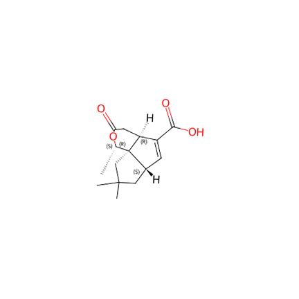 C[C@@H]1OC(=O)C[C@H]2C(C(=O)O)=C[C@@H]3CC(C)(C)C[C@]312